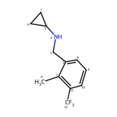 Cc1c(CNC2CC2)cccc1C(F)(F)F